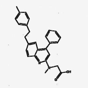 Cc1ccc(CCc2ccc3nc(N(C)CC(=O)O)cc(-c4ccccc4)c3c2)cc1